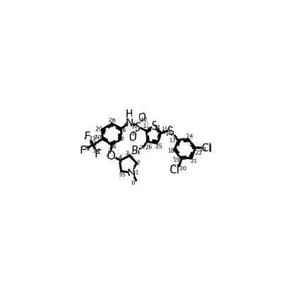 CN1CCC(Oc2cc(NS(=O)(=O)c3sc(Sc4cc(Cl)cc(Cl)c4)cc3Br)ccc2C(F)(F)F)C1